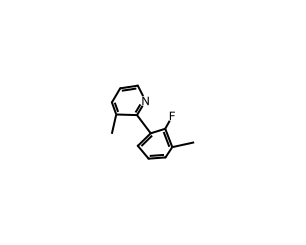 Cc1cccnc1-c1cccc(C)c1F